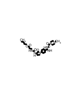 CCCCCOC(=O)CCNC(=O)N[C@H]1CCN(c2ccc(C(=N)NOC(=O)N3CCN(C)CC3)cc2)C1=O